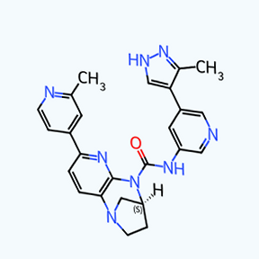 Cc1cc(-c2ccc3c(n2)N(C(=O)Nc2cncc(-c4c[nH]nc4C)c2)[C@H]2CCN3C2)ccn1